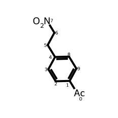 CC(=O)c1ccc(CC[N+](=O)[O-])cc1